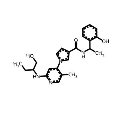 CCC(CO)Nc1cc(-n2ccc(C(=O)NC(C)c3ccccc3O)c2)c(C)cn1